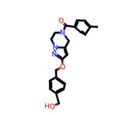 Cc1ccc(C(=O)N2CCn3nc(OCc4ccc(CO)cc4)cc3C2)cc1